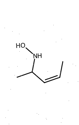 C/C=C\C(C)NO